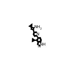 N[C@H]1C(c2ccc(-c3ccc4[nH]ncc4c3C3CC3)nc2)CC12CC2